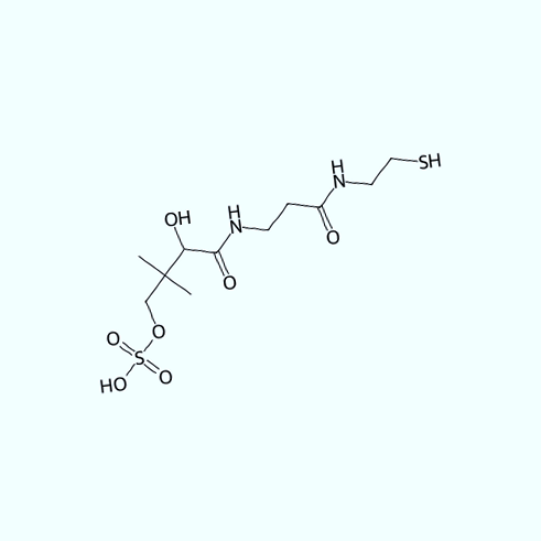 CC(C)(COS(=O)(=O)O)C(O)C(=O)NCCC(=O)NCCS